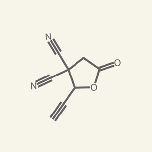 C#CC1OC(=O)CC1(C#N)C#N